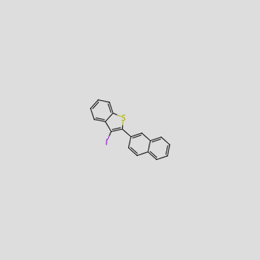 Ic1c(-c2ccc3ccccc3c2)sc2ccccc12